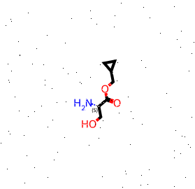 N[C@@H](CO)C(=O)OCC1CC1